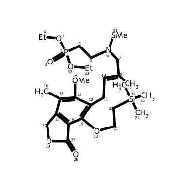 CCOP(=O)(CCN(C/C(C)=C/Cc1c(OC)c(C)c2c(c1OCC[Si](C)(C)C)C(=O)OC2)SC)OCC